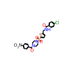 O=C(NCc1ccc(S(=O)(=O)N2CCN(C(=O)c3ccc([N+](=O)[O-])cc3)CC2)s1)c1ccc(Cl)cc1